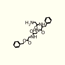 NCC(=O)N[C@@H](Cc1ccccc1)C(=O)NCC(=O)NCC(=O)OCc1ccccc1